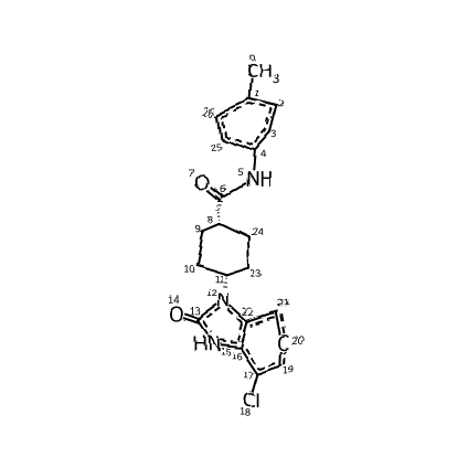 Cc1ccc(NC(=O)[C@H]2CC[C@@H](n3c(=O)[nH]c4c(Cl)cccc43)CC2)cc1